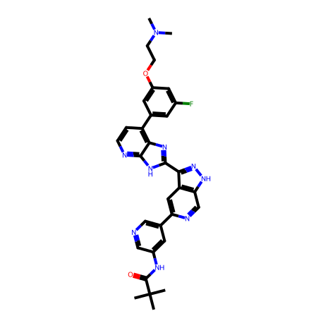 CN(C)CCOc1cc(F)cc(-c2ccnc3[nH]c(-c4n[nH]c5cnc(-c6cncc(NC(=O)C(C)(C)C)c6)cc45)nc23)c1